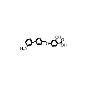 Nc1cccc(-c2ccc(COc3ccc(C(=O)O)c(O)c3)cc2)c1